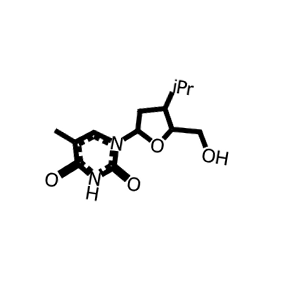 Cc1cn(C2CC(C(C)C)C(CO)O2)c(=O)[nH]c1=O